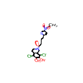 CO[N+](=O)c1ccc(CCCC(=O)N2CCc3c(Cl)c(O)c(O)c(Cl)c3C2)nc1